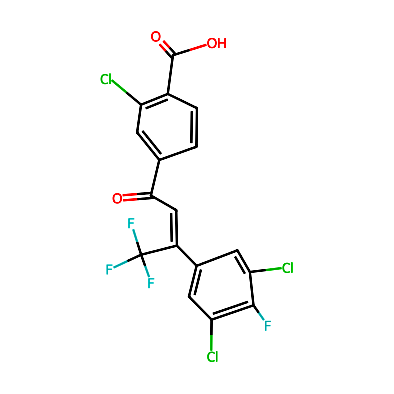 O=C(C=C(c1cc(Cl)c(F)c(Cl)c1)C(F)(F)F)c1ccc(C(=O)O)c(Cl)c1